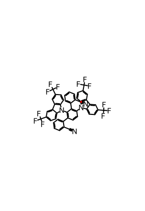 N#Cc1ccccc1-c1ccc(-n2c3ccc(C(F)(F)F)cc3c3cc(C(F)(F)F)ccc32)c(-c2ccccc2C#N)c1-n1c2ccc(C(F)(F)F)cc2c2cc(C(F)(F)F)ccc21